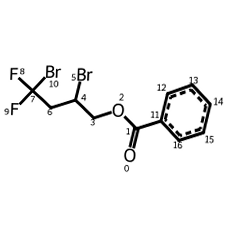 O=C(OCC(Br)CC(F)(F)Br)c1ccccc1